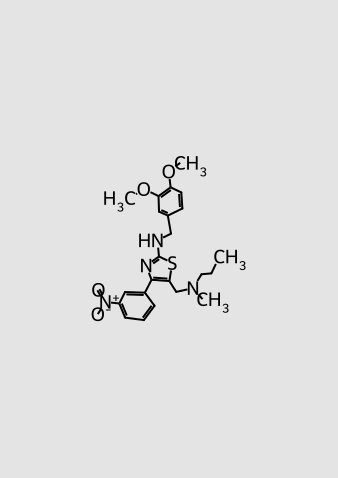 CCCN(C)Cc1sc(NCc2ccc(OC)c(OC)c2)nc1-c1cccc([N+](=O)[O-])c1